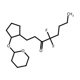 CCCCC(F)(F)C(=O)CCC1[CH]CCC1OC1CCCCO1